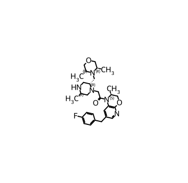 C[C@@H]1CN(CC(=O)N2c3cc(Cc4ccc(F)cc4)cnc3OC[C@@H]2C)[C@@H](CN2[C@H](C)COC[C@H]2C)CN1